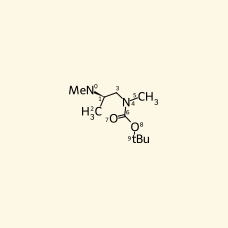 CN[C@H](C)CN(C)C(=O)OC(C)(C)C